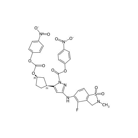 CN1Cc2c(ccc(Nc3cc([C@H]4CC[C@@H](OC(=O)Oc5ccc([N+](=O)[O-])cc5)C4)n(C(=O)Oc4ccc([N+](=O)[O-])cc4)n3)c2F)S1(=O)=O